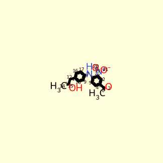 CC(=O)c1ccc(Nc2ccc(CC(C)O)cc2)c([N+](=O)[O-])c1